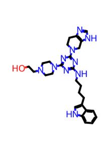 OCCN1CCN(c2nc(NCCCCc3c[nH]c4ccccc34)nc(N3CCc4nc[nH]c4C3)n2)CC1